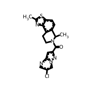 Cc1nc2c3c(ccc2s1)C(C)N(C(=O)c1cc2ncc(Cl)cn2n1)CC3